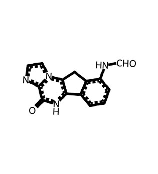 O=CNc1cccc2c1Cc1c-2[nH]c(=O)c2nccn12